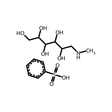 CNCC(O)C(O)C(O)C(O)CO.O=S(=O)(O)c1ccccc1